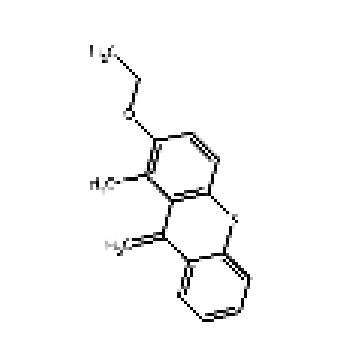 C=C1c2ccccc2Sc2ccc(OCC)c(C)c21